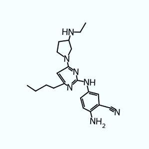 CCCCc1cc(N2CCC(NCC)C2)nc(Nc2ccc(N)c(C#N)c2)n1